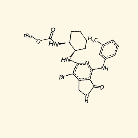 Cc1cccc(Nc2nc(N[C@@H]3CCCC[C@@H]3NC(=O)OC(C)(C)C)c(Br)c3c2C(=O)NC3)c1